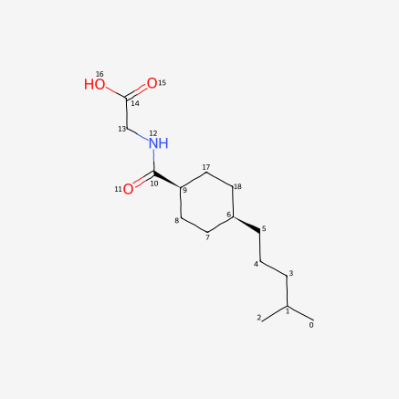 CC(C)CCC[C@H]1CC[C@@H](C(=O)NCC(=O)O)CC1